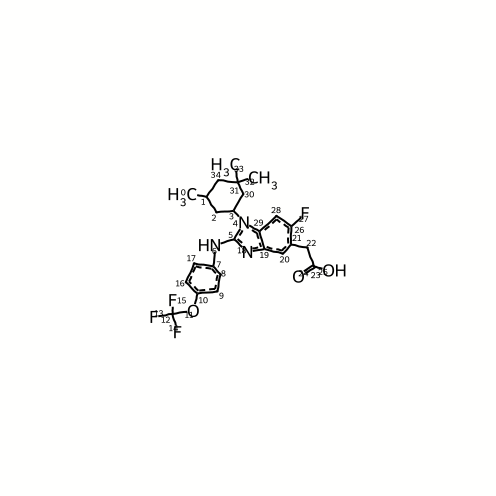 CC1CC(n2c(Nc3ccc(OC(F)(F)F)cc3)nc3cc(CC(=O)O)c(F)cc32)CC(C)(C)C1